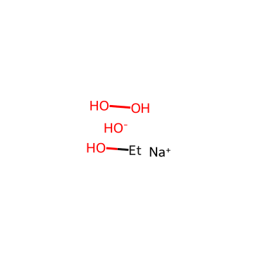 CCO.OO.[Na+].[OH-]